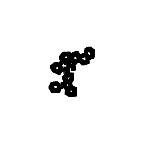 c1ccc(-c2ccccc2N(c2ccc3c4ccccc4n(-c4ccccc4)c3c2)c2nc3ccc4c5ccccc5ccc4c3s2)cc1